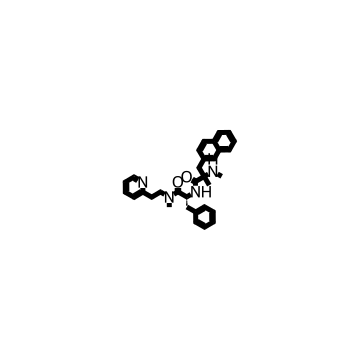 CNC(C)(Cc1ccc2ccccc2c1)C(=O)N[C@H](Cc1ccccc1)C(=O)N(C)CCc1ccccn1